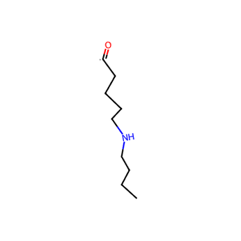 CCCCNCCCC[C]=O